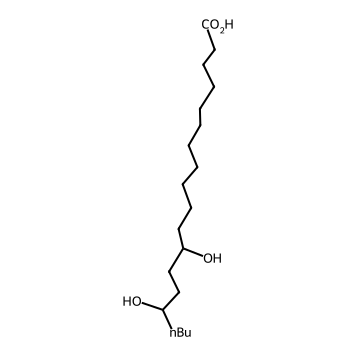 CCCCC(O)CCC(O)CCCCCCCCCCC(=O)O